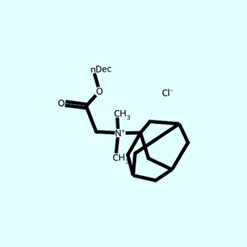 CCCCCCCCCCOC(=O)C[N+](C)(C)C12CC3CC(CC(C3)C1)C2.[Cl-]